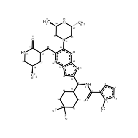 CCn1nccc1C(=O)N[C@H](c1cn2nc(C[C@H]3C[C@@H](C(F)(F)F)CNC3=O)c(N3C[C@@H](C)O[C@H](C)C3)nc2n1)C1CCC(F)(F)CC1